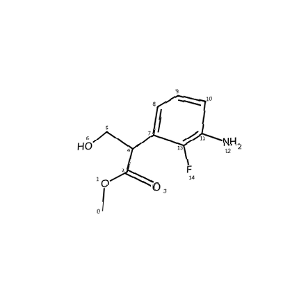 COC(=O)C(CO)c1cccc(N)c1F